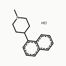 CN1CCC(c2cccc3ccccc23)CC1.Cl